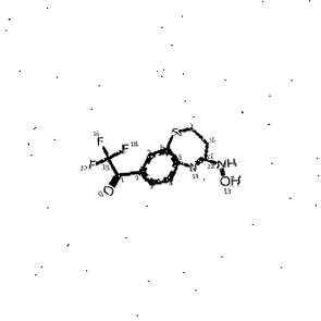 O=C(c1ccc2c(c1)SCCC(NO)=N2)C(F)(F)F